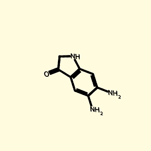 Nc1cc2c(cc1N)C(=O)CN2